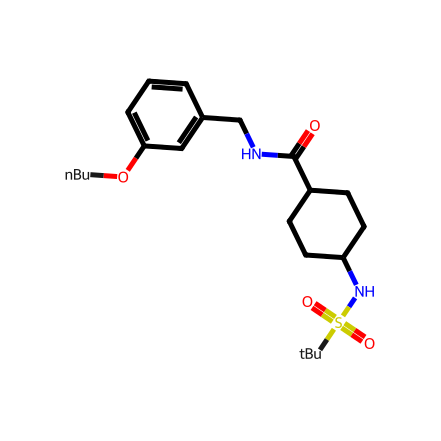 CCCCOc1cccc(CNC(=O)C2CCC(NS(=O)(=O)C(C)(C)C)CC2)c1